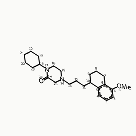 COc1cccc2c1CCCC2CCCN1CCN(C2CCCCC2)C(=O)C1